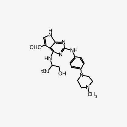 CN1CCN(c2ccc(Nc3nc(NC(CO)C(C)(C)C)c4c(C=O)c[nH]c4n3)cc2)CC1